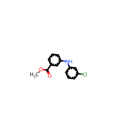 COC(=O)c1cccc(Nc2cccc(Cl)c2)c1